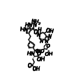 Nc1nc(=O)c2c(CCc3ccc(C(=O)N[C@@H](CCC(=O)O)C(=O)O)cc3)c[nH]c2[nH]1.OC[C@H]1O[C@@H](n2cnc3c2N=CNC[C@H]3O)C[C@@H]1O